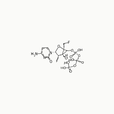 Nc1ccn([C@@H]2O[C@]3(CF)C(OP(=O)(O)OP(=O)(O)OP(=O)(O)O)[C@]3(O)[C@H]2F)c(=O)n1